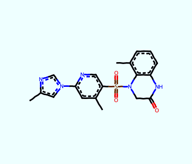 Cc1cn(-c2cc(C)c(S(=O)(=O)N3CC(=O)Nc4cccc(C)c43)cn2)cn1